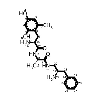 Cc1cc(O)cc(C)c1C[C@H](N)C(=O)N[C@@H](C)C(=O)NC[C@H](N)Cc1ccccc1